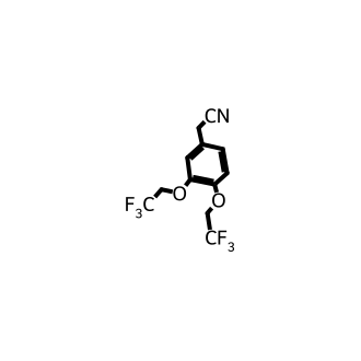 N#CCc1ccc(OCC(F)(F)F)c(OCC(F)(F)F)c1